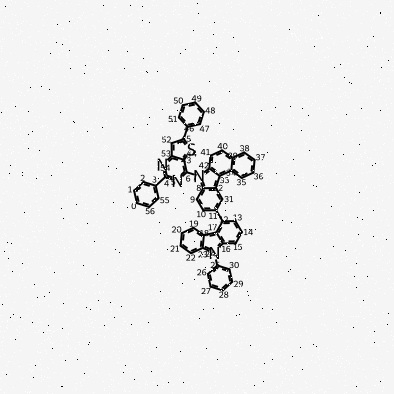 c1ccc(-c2nc(-n3c4ccc(-c5cccc6c5c5ccccc5n6-c5ccccc5)cc4c4c5ccccc5ccc43)c3sc(-c4ccccc4)cc3n2)cc1